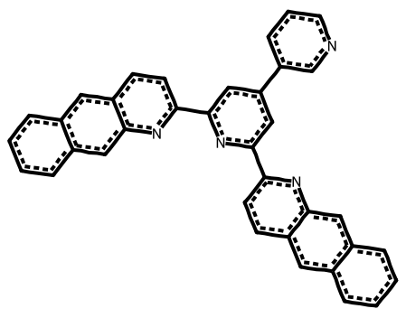 c1cncc(-c2cc(-c3ccc4cc5ccccc5cc4n3)nc(-c3ccc4cc5ccccc5cc4n3)c2)c1